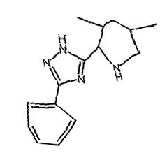 CC1CNC(c2nc(-c3ccccc3)n[nH]2)C(C)C1